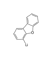 [Li][c]1cccc2c1oc1ccccc12